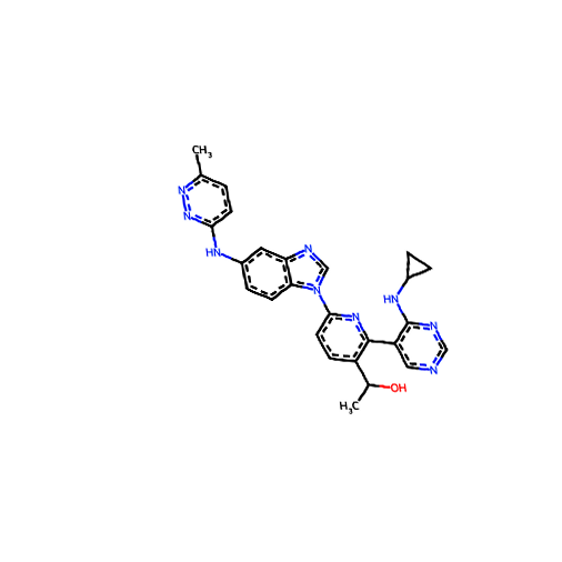 Cc1ccc(Nc2ccc3c(c2)ncn3-c2ccc(C(C)O)c(-c3cncnc3NC3CC3)n2)nn1